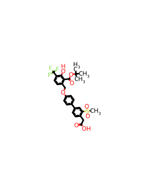 CC(C)(C)OC(=O)c1c(COc2ccc(-c3ccc(CC(=O)O)c(S(C)(=O)=O)c3)cc2)ccc(C(F)(F)F)c1O